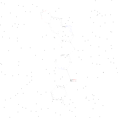 Cc1ccc(C(=O)c2cc(Cc3c[nH]c4cc5c(cc4c3=O)OCO5)ccn2)cc1C